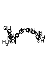 NC(=O)c1ncc(N2CCC[C@@H](CO)C2)nc1Nc1ccc(C2CCN(CC3CCN(c4ccc(NC5CCC(O)NC5=O)cn4)CC3)CC2)cc1